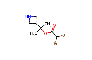 CC(C)(OC(=O)C(Br)Br)C1CNC1